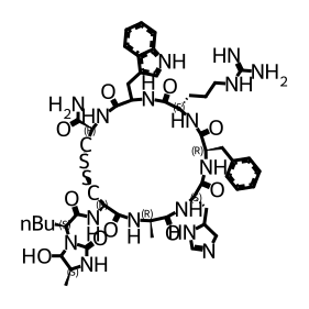 CCCC[C@@H](C(=O)N[C@H]1CSSC[C@@H](C(N)=O)NC(=O)C(Cc2c[nH]c3ccccc23)NC(=O)[C@H](CCCNC(=N)N)NC(=O)[C@@H](Cc2ccccc2)NC(=O)[C@H](CC2CN=CN2)NC(=O)[C@@H](C)NC1=O)N1C(=O)N[C@@H](C)C1O